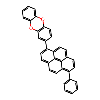 c1ccc(-c2ccc3ccc4c(-c5ccc6c(c5)Oc5ccccc5O6)ccc5ccc2c3c54)cc1